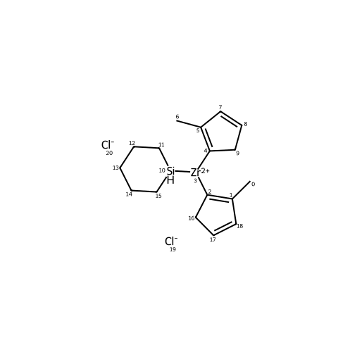 CC1=[C]([Zr+2]([C]2=C(C)C=CC2)[SiH]2CCCCC2)CC=C1.[Cl-].[Cl-]